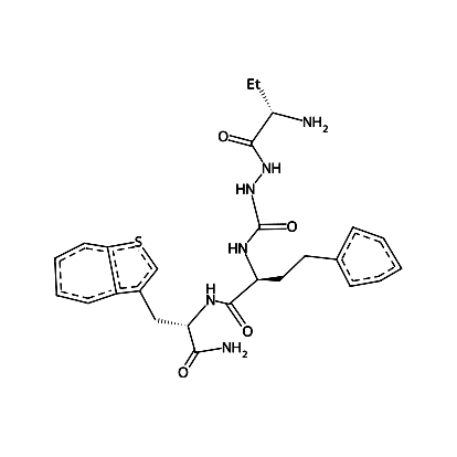 CC[C@H](N)C(=O)NNC(=O)N[C@@H](CCc1ccccc1)C(=O)N[C@@H](Cc1csc2ccccc12)C(N)=O